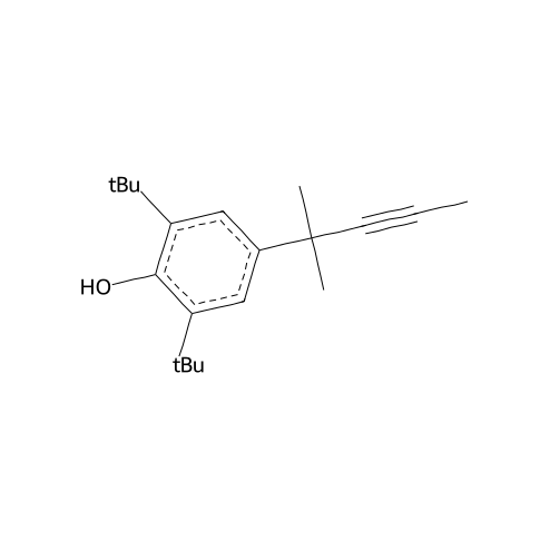 CC#CC(C)(C)c1cc(C(C)(C)C)c(O)c(C(C)(C)C)c1